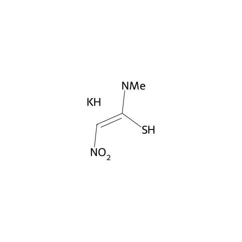 CNC(S)=C[N+](=O)[O-].[KH]